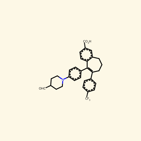 O=CC1CCN(c2ccc(C3=C(c4ccc(C(F)(F)F)cc4)CCCc4cc(C(=O)O)ccc43)cc2)CC1